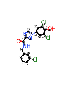 O=C(NCc1cccc(Cl)c1)c1ncn(-c2cc(Cl)c(O)c(Cl)c2)n1